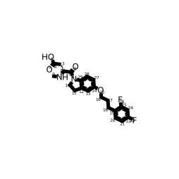 CN[C@H](CC(=O)O)C(=O)N1CCc2cc(OCCCc3ccc(F)cc3F)ccc21